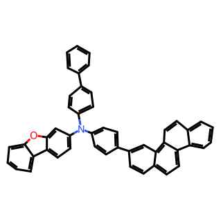 c1ccc(-c2ccc(N(c3ccc(-c4ccc5ccc6c7ccccc7ccc6c5c4)cc3)c3ccc4c(c3)oc3ccccc34)cc2)cc1